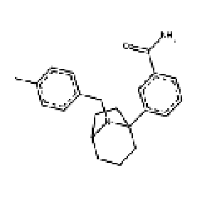 Cc1ccc(CN2C3CCCC2(c2cccc(C(N)=O)c2)CC3)cc1